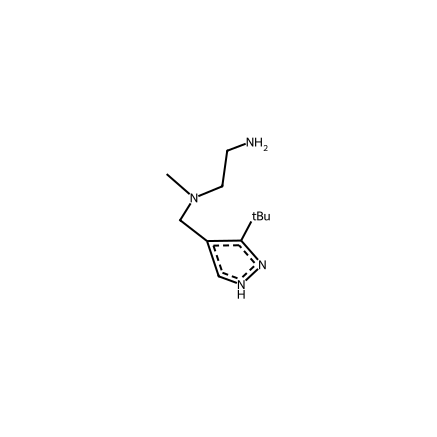 CN(CCN)Cc1c[nH]nc1C(C)(C)C